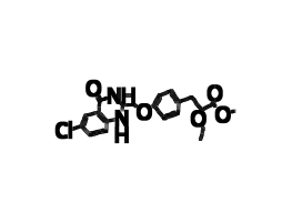 CCOC(Cc1ccc(OCC2NC(=O)c3cc(Cl)ccc3N2)cc1)C(=O)OC